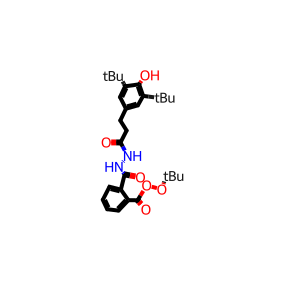 CC(C)(C)OOC(=O)c1ccccc1C(=O)NNC(=O)CCc1cc(C(C)(C)C)c(O)c(C(C)(C)C)c1